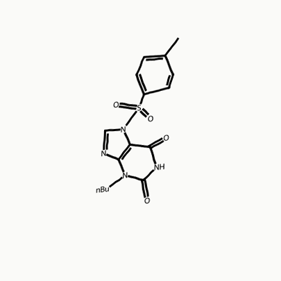 CCCCn1c(=O)[nH]c(=O)c2c1ncn2S(=O)(=O)c1ccc(C)cc1